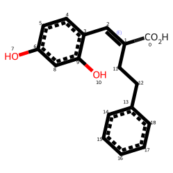 O=C(O)/C(=C/c1ccc(O)cc1O)CCc1ccccc1